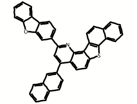 c1ccc2cc(-c3cc(-c4ccc5c(c4)oc4ccccc45)nc4c3ccc3sc5c6ccccc6ccc5c34)ccc2c1